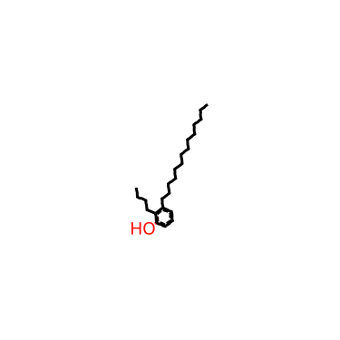 CCCCCCCCCCCCCCc1cccc(O)c1CCCC